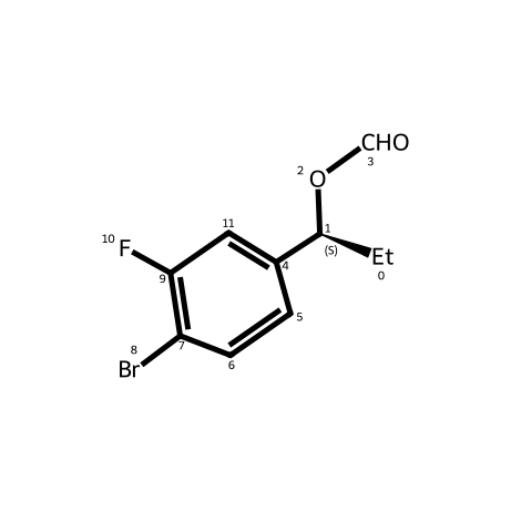 CC[C@H](OC=O)c1ccc(Br)c(F)c1